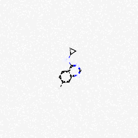 CC(C)(C)c1ccc2c(NC3CC3)ncnc2c1